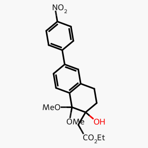 CCOC(=O)CC1(O)CCc2cc(-c3ccc([N+](=O)[O-])cc3)ccc2C1(OC)OC